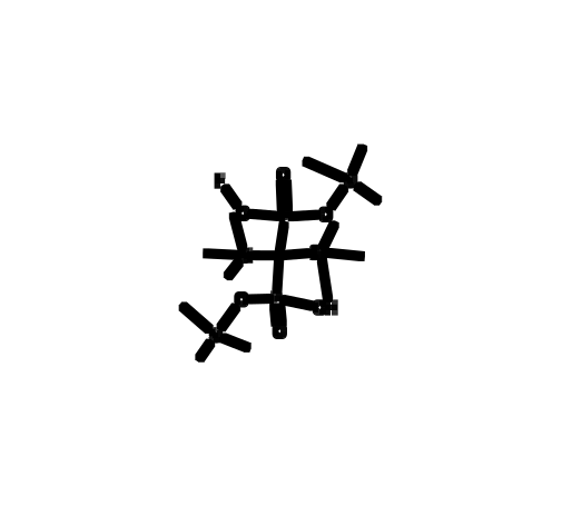 C[Si](C)(C)OP(=O)(O)C([Si](C)(C)C)([Si](C)(C)C)P(=O)(OF)O[Si](C)(C)C